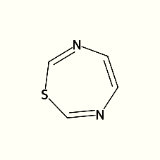 C1=CN=CSC=N1